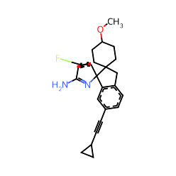 COC1CCC2(CC1)Cc1ccc(C#CC3CC3)cc1C21N=C(N)c2c(F)cccc21